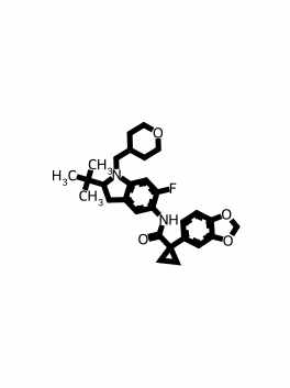 CC(C)(C)C1Cc2cc(NC(=O)C3(c4ccc5c(c4)OCO5)CC3)c(F)cc2N1CC1CCOCC1